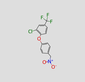 O=[N+]([O-])Cc1ccc(Oc2ccc(C(F)(F)F)cc2Cl)cc1